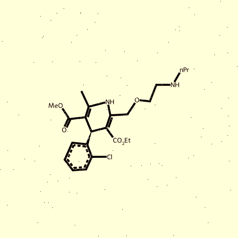 CCCNCCOCC1=C(C(=O)OCC)[C@@H](c2ccccc2Cl)C(C(=O)OC)=C(C)N1